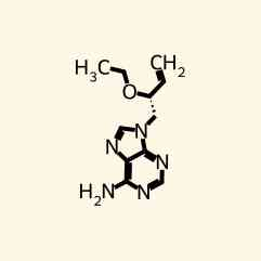 C=C[C@H](Cn1cnc2c(N)ncnc21)OCC